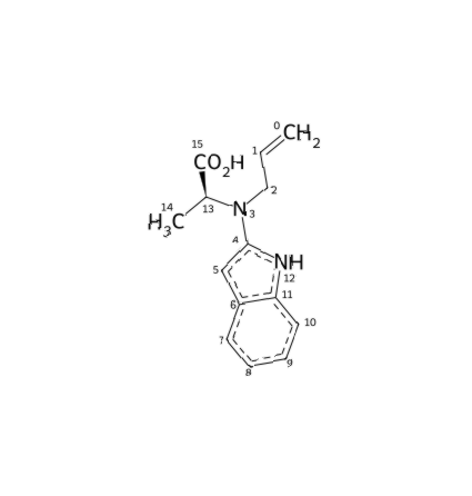 C=CCN(c1cc2ccccc2[nH]1)[C@@H](C)C(=O)O